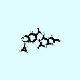 Cc1nc(OC(C)c2ccc3c(c2)nnn3C2CC2)c2cc(C)oc2n1